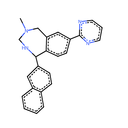 CN1CNC(c2ccc3ccccc3c2)c2ccc(-c3ncccn3)cc2C1